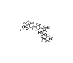 CCOC(=O)C1(c2ccc(-c3ccc(-c4sc(Cl)cc4NC(=O)OC(C)c4ccc(F)cc4)cc3)cc2)CC1